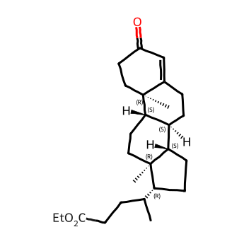 CCOC(=O)CCC(C)[C@H]1CC[C@H]2[C@@H]3CCC4=CC(=O)CC[C@]4(C)[C@H]3CC[C@]12C